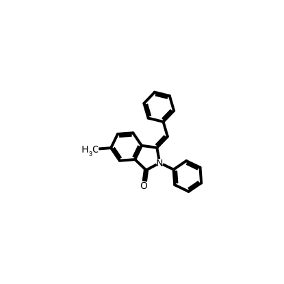 Cc1ccc2c(c1)C(=O)N(c1ccccc1)C2=Cc1ccccc1